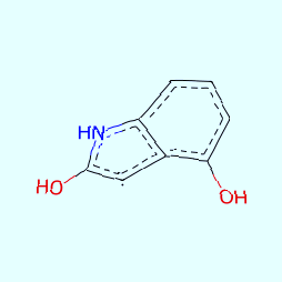 Oc1[c]c2c(O)cccc2[nH]1